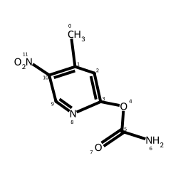 Cc1cc(OC(N)=O)ncc1[N+](=O)[O-]